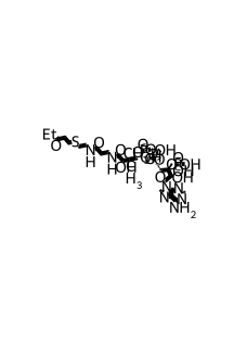 CCC(=O)CCSCCNC(=O)CCNC(=O)C(O)C(C)(C)COP(=O)(O)OP(=O)(O)OC[C@H]1O[C@@H](n2cnc3c(N)ncnc32)[C@H](O)[C@@H]1OP(=O)(O)O